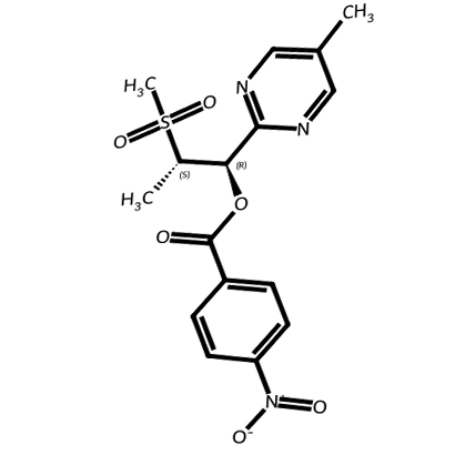 Cc1cnc([C@@H](OC(=O)c2ccc([N+](=O)[O-])cc2)[C@H](C)S(C)(=O)=O)nc1